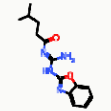 CC(C)CCC(=O)/N=C(\N)Nc1nc2ccccc2o1